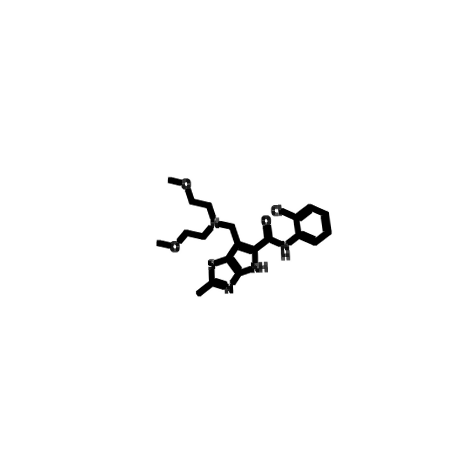 COCCN(CCOC)Cc1c(C(=O)Nc2ccccc2Cl)[nH]c2nc(C)sc12